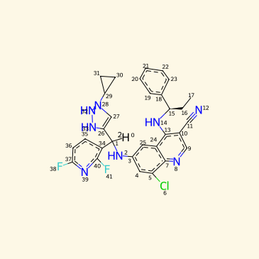 [2H]C(Nc1cc(Cl)c2ncc(C#N)c(N[C@H](CC)c3ccccc3)c2c1)(C1=CN(C2CC2)NN1)c1ccc(F)nc1F